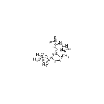 C[C@H]1CCN(C(=O)OC(C)(C)C)C[C@@H]1c1cc(C(F)F)nc2ncnn12